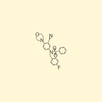 N#Cc1cc(N(Cc2ccc(F)cc2)S(=O)(=O)c2ccccc2)ccc1N1CCOCC1